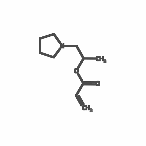 C=CC(=O)OC(C)CN1CCCC1